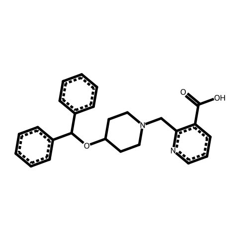 O=C(O)c1cccnc1CN1CCC(OC(c2ccccc2)c2ccccc2)CC1